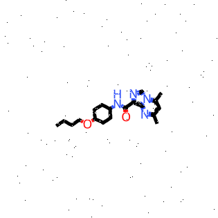 CCCCOC1CCC(NC(=O)c2ncn3c(C)cc(C)nc23)CC1